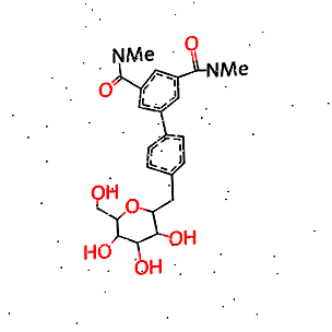 CNC(=O)c1cc(C(=O)NC)cc(-c2ccc(CC3OC(CO)C(O)C(O)C3O)cc2)c1